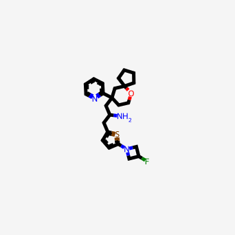 NC(Cc1ccc(N2CC(F)C2)s1)CC1(c2ccccn2)CCOC2(CCCC2)C1